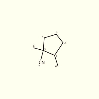 CC1CCCC1(C)C#N